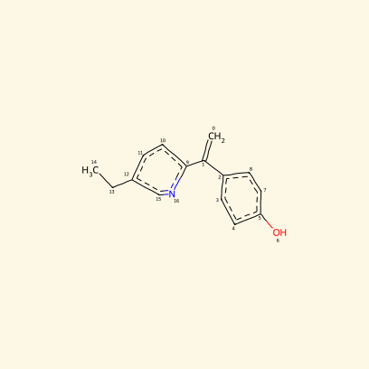 C=C(c1ccc(O)cc1)c1ccc(CC)cn1